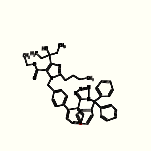 CCCCc1nc(C(O)(CC)CC)c(C(=O)OCC)n1Cc1ccc(-c2ccccc2-c2nnnn2C(c2ccccc2)(c2ccccc2)c2ccccc2)cc1